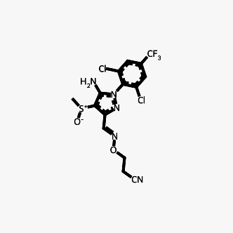 C[S+]([O-])c1c(C=NOCCC#N)nn(-c2c(Cl)cc(C(F)(F)F)cc2Cl)c1N